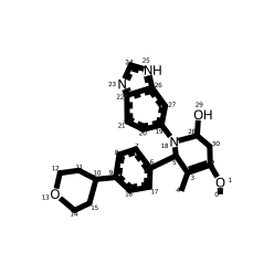 COC1=C(C)C(c2ccc(C3CCOCC3)cc2)N(c2ccc3nc[nH]c3c2)C(O)C1